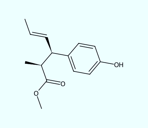 CC=C[C@@H](c1ccc(O)cc1)[C@H](C)C(=O)OC